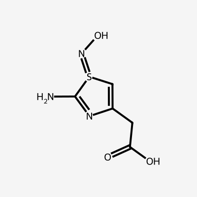 NC1=NC(CC(=O)O)=CS1=NO